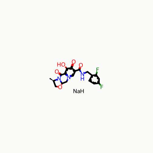 C[C@@H]1COC2Cn3cc(C(=O)NCc4ccc(F)cc4F)c(=O)c(O)c3C(=O)N21.[NaH]